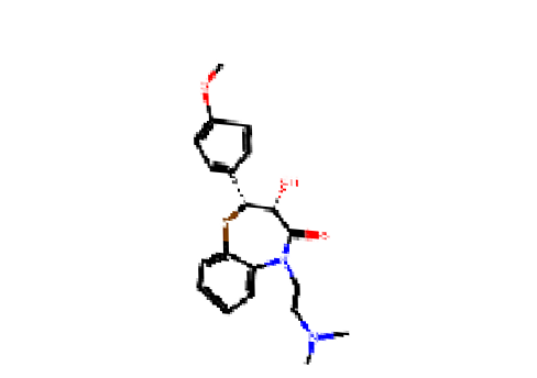 COc1ccc([C@H]2Sc3ccccc3N(CCN(C)C)C(=O)[C@H]2O)cc1